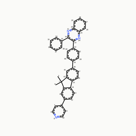 CC1(C)c2cc(-c3ccncc3)ccc2-c2ccc(-c3ccc(-c4nc5ccccc5nc4-c4ccccc4)cc3)cc21